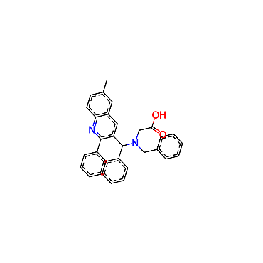 Cc1ccc2nc(-c3ccccc3)c(C(c3ccccc3)N(CC(=O)O)Cc3ccccc3)cc2c1